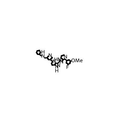 COc1cc(F)cc(-c2nccc3[nH]c(-c4n[nH]c5ccc(-c6cncc(CNCc7ccccc7)c6)nc45)nc23)c1